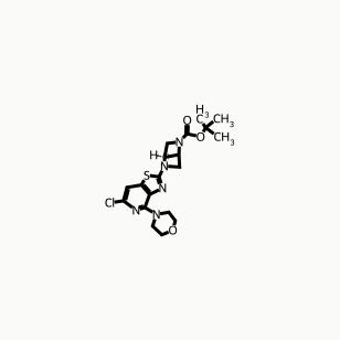 CC(C)(C)OC(=O)N1C[C@H]2C1CN2c1nc2c(N3CCOCC3)nc(Cl)cc2s1